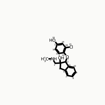 CNCC1(O)Cc2ccccc2C1Oc1ccc(O)cc1Cl